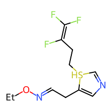 CCO/N=C/CC1=CN=C[SH]1CCC(F)=C(F)F